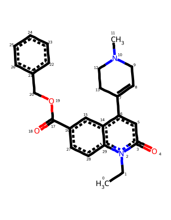 CCn1c(=O)cc(C2=CCN(C)CC2)c2cc(C(=O)OCc3ccccc3)ccc21